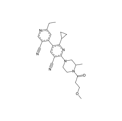 CCc1cc(-c2cc(C#N)c(N3CCN(C(=O)CCOC)C(C)C3)nc2C2CC2)c(C#N)cn1